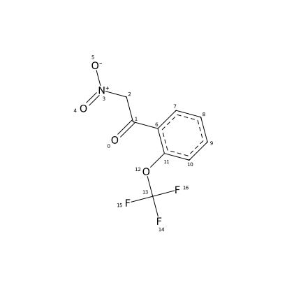 O=C(C[N+](=O)[O-])c1ccccc1OC(F)(F)F